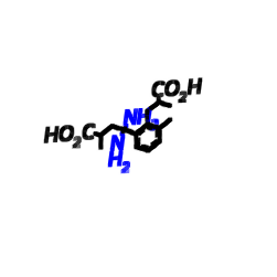 Cc1cccc(C(N)(N)CC(C)C(=O)O)c1CC(C)C(=O)O